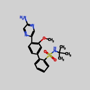 COc1cc(-c2ccccc2S(=O)(=O)NC(C)(C)C)ccc1-c1cnc(N)cn1